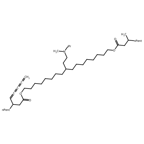 C=C=C=C=CC(CCCCC)CC(=O)OCCCCCCCCC(CCCCCCCCOC(=O)CC(C)CCCCC)CCN(C)C(C)C